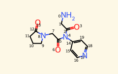 NCC(=O)N(C(=O)CN1CCCC1=O)c1ccncc1